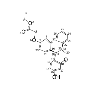 CCOC(=O)COc1ccc([C@@H]2c3ccc(O)cc3OC[C@@H]2c2ccccc2)cc1